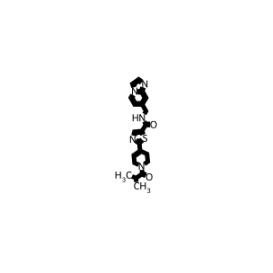 CC(C)C(=O)N1CC=C(c2ncc(C(=O)NCc3ccn4ccnc4c3)s2)CC1